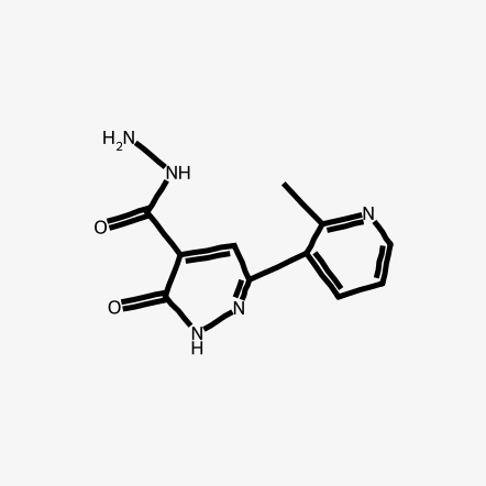 Cc1ncccc1-c1cc(C(=O)NN)c(=O)[nH]n1